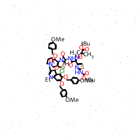 CCn1cc(C[N+]2(CC3=C(C(=O)OCc4ccc(OC)cc4)N4C(=O)[C@@H](NC(=O)C(=NOC(C)(C)C(=O)OC(C)(C)C)c5csc(NC(=O)OC(C)(C)C)n5)[C@H]4SC3)CCCC2)c(=O)c2c(Cl)c(OCc3ccc(OC)cc3)c(OCc3ccc(OC)cc3)cc21